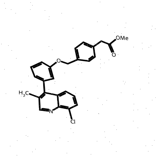 COC(=O)Cc1ccc(COc2cccc(-c3c(C)cnc4c(Cl)cccc34)c2)cc1